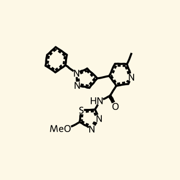 COc1nnc(NC(=O)c2cnc(C)cc2-c2cnn(-c3ccccc3)c2)s1